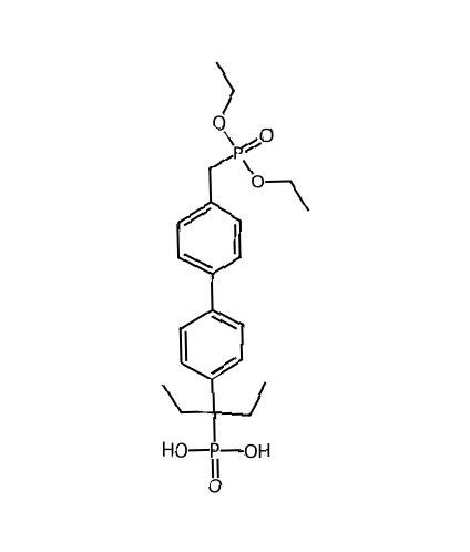 CCOP(=O)(Cc1ccc(-c2ccc(C(CC)(CC)P(=O)(O)O)cc2)cc1)OCC